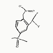 CP(C)(=O)c1ccc([N+](=O)[O-])c(C(F)F)c1